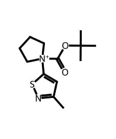 Cc1cc([N+]2(C(=O)OC(C)(C)C)CCCC2)sn1